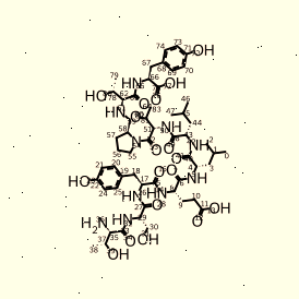 CC(C)C[C@H](NC(=O)[C@H](CCC(=O)O)NC(=O)[C@H](Cc1ccc(O)cc1)NC(=O)[C@H](CO)NC(=O)[C@@H](N)[C@@H](C)O)C(=O)N[C@@H](CC(C)C)C(=O)N[C@H](C(=O)N1CCC[C@H]1C(=O)N[C@H](C(=O)N[C@@H](Cc1ccc(O)cc1)C(=O)O)[C@@H](C)O)C(C)C